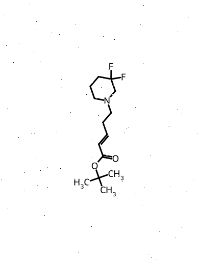 CC(C)(C)OC(=O)C=CCCN1CCCC(F)(F)C1